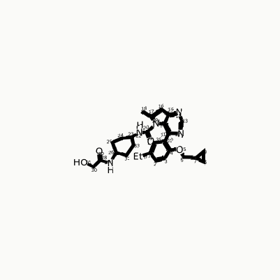 CCc1ccc(OCC2CC2)c(-c2ncnc3cc(C)n(C(=O)NC4CCC(NC(=O)CO)CC4)c23)c1